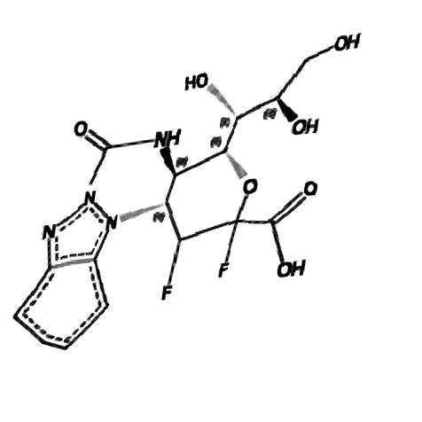 CC(=O)N[C@H]1[C@H]([C@H](O)[C@H](O)CO)OC(F)(C(=O)O)C(F)[C@@H]1n1nnc2ccccc21